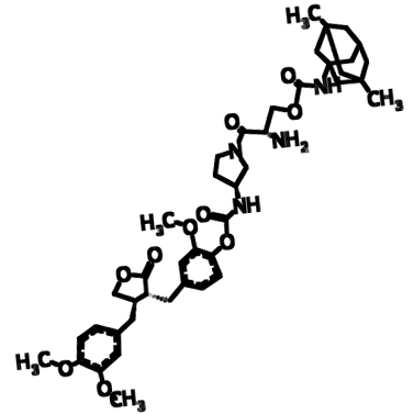 COc1ccc(C[C@H]2COC(=O)[C@@H]2Cc2ccc(OC(=O)N[C@H]3CCN(C(=O)[C@@H](N)COC(=O)NC45CC6CC(C)(CC(C)(C6)C4)C5)C3)c(OC)c2)cc1OC